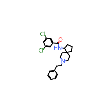 O=C(NC1CCCC12CCN(CCc1ccccc1)CC2)c1cc(Cl)cc(Cl)c1